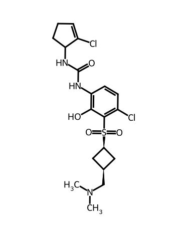 CN(C)C[C@H]1C[C@@H](S(=O)(=O)c2c(Cl)ccc(NC(=O)NC3CCC=C3Cl)c2O)C1